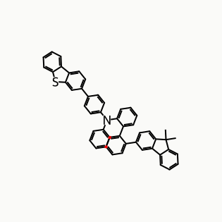 CC1(C)c2ccccc2-c2cc(-c3ccccc3-c3ccccc3N(c3ccccc3)c3ccc(-c4ccc5c(c4)sc4ccccc45)cc3)ccc21